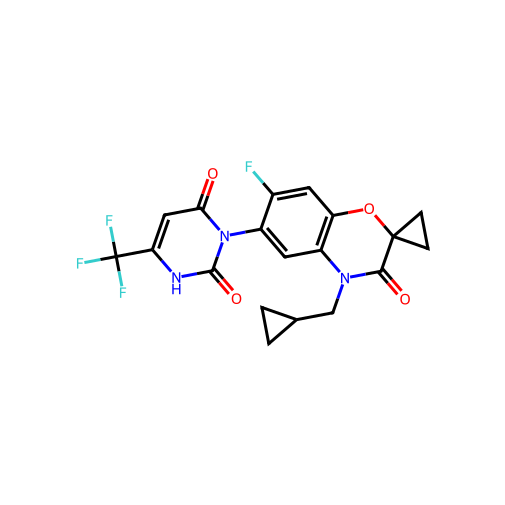 O=C1N(CC2CC2)c2cc(-n3c(=O)cc(C(F)(F)F)[nH]c3=O)c(F)cc2OC12CC2